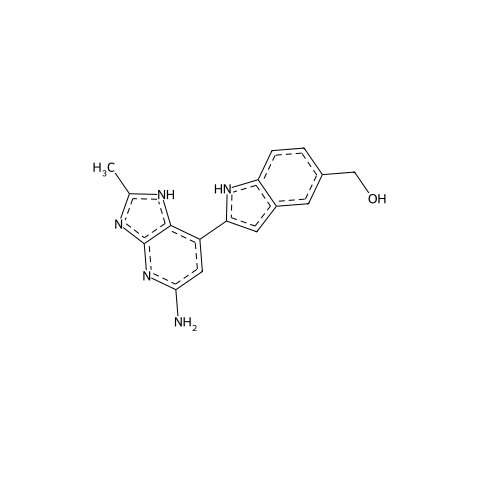 Cc1nc2nc(N)cc(-c3cc4cc(CO)ccc4[nH]3)c2[nH]1